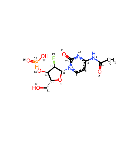 CC(=O)Nc1ccn([C@@H]2O[C@H](CO)[C@@H](O[PH](=O)O)[C@H]2F)c(=O)n1